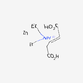 CCNCC.O=C(O)/C=C/C(=O)O.[Zn]